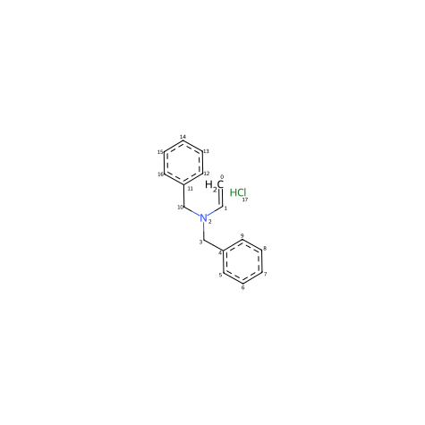 C=CN(Cc1ccccc1)Cc1ccccc1.Cl